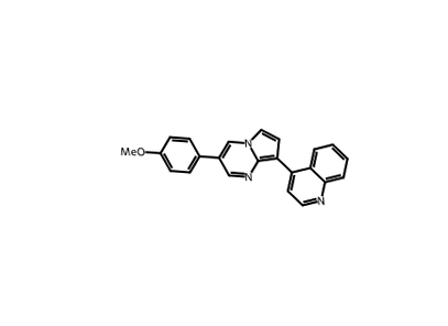 COc1ccc(-c2cnc3c(-c4ccnc5ccccc45)ccn3c2)cc1